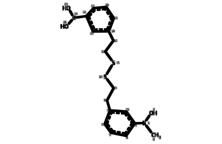 CB(O)c1cccc(CCSSCCc2cccc(B(O)O)c2)c1